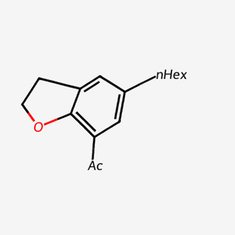 CCCCCCc1cc2c(c(C(C)=O)c1)OCC2